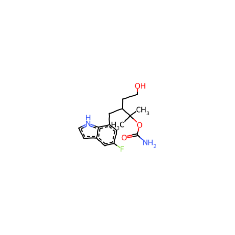 CC(C)(OC(N)=O)C(CCO)Cc1cc(F)cc2cc[nH]c12